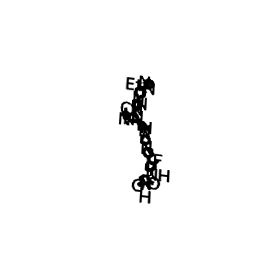 CCC1(c2ncccn2)CCN(c2ccc(-c3nc(-c4cnn([C@H]5CC[C@H](N6CCC(c7ccc(N[C@@H]8CCC(=O)NC8=O)cc7F)CC6)CC5)c4)cn4ncc(C#N)c34)cn2)CC1